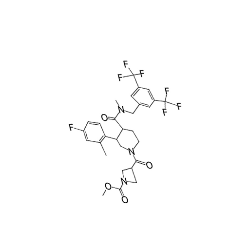 COC(=O)N1CC(C(=O)N2CCC(C(=O)N(C)Cc3cc(C(F)(F)F)cc(C(F)(F)F)c3)C(c3ccc(F)cc3C)C2)C1